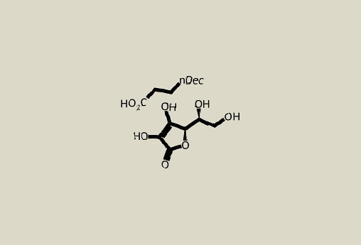 CCCCCCCCCCCCC(=O)O.O=C1O[C@H]([C@@H](O)CO)C(O)=C1O